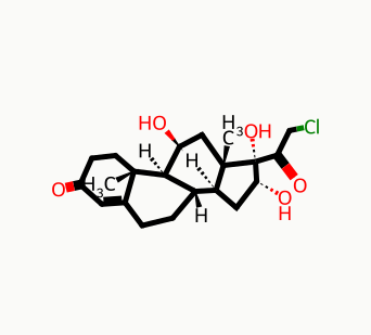 C[C@]12CCC(=O)C=C1CC[C@@H]1[C@@H]2[C@@H](O)C[C@@]2(C)[C@H]1C[C@@H](O)[C@]2(O)C(=O)CCl